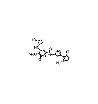 COc1c(N[C@@H]2CC[C@@H]2O)cc(C(=O)Nc2nnc(-c3c(Cl)ccn3C)s2)oc1=O